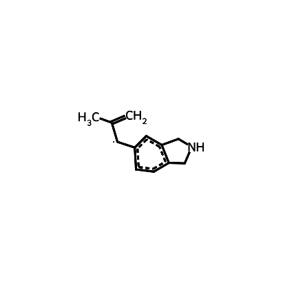 C=C(C)[CH]c1ccc2c(c1)CNC2